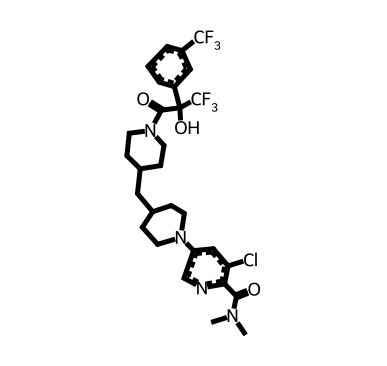 CN(C)C(=O)c1ncc(N2CCC(CC3CCN(C(=O)C(O)(c4cccc(C(F)(F)F)c4)C(F)(F)F)CC3)CC2)cc1Cl